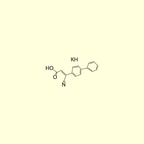 N#CC(=CC(=O)O)c1ccc(-c2ccccc2)cc1.[KH]